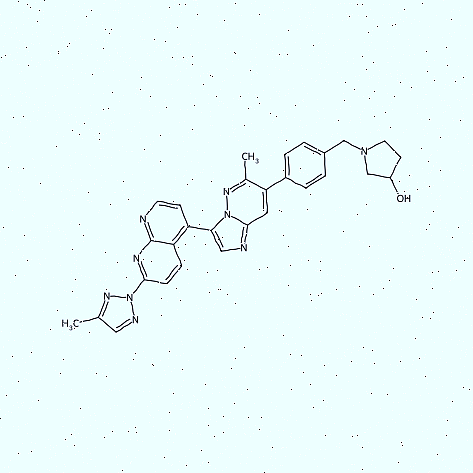 Cc1cnn(-c2ccc3c(-c4cnc5cc(-c6ccc(CN7CCC(O)C7)cc6)c(C)nn45)ccnc3n2)n1